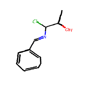 CC(O)C(Cl)N=Cc1ccccc1